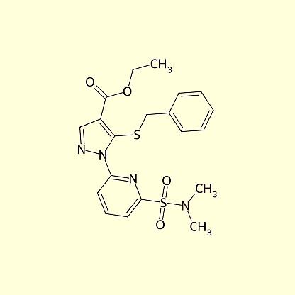 CCOC(=O)c1cnn(-c2cccc(S(=O)(=O)N(C)C)n2)c1SCc1ccccc1